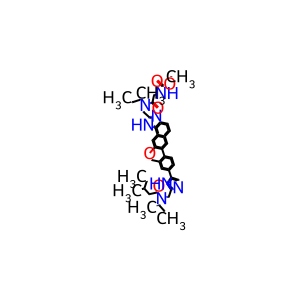 CCC(C)CC(=O)N(Cc1ncc(-c2ccc3c(c2)COc2cc4c(ccc5nc(CN(C(=O)CNC(=O)OC)[C@@H](C)CC)[nH]c54)cc2-3)[nH]1)[C@@H](C)CC